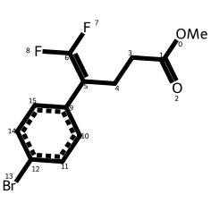 COC(=O)CCC(=C(F)F)c1ccc(Br)cc1